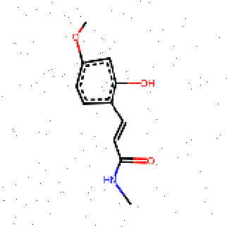 CNC(=O)/C=C/c1ccc(OC)cc1O